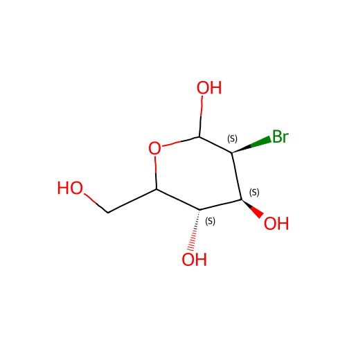 OCC1OC(O)[C@@H](Br)[C@@H](O)[C@@H]1O